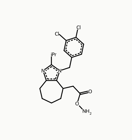 CC(C)c1nc2c(n1Cc1ccc(Cl)c(Cl)c1)C(CC(=O)ON)CCCC2